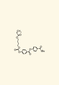 C=CC(=O)OCCCCOC(=O)Oc1ccc(C(=O)Oc2ccc(C(=O)C(C)(C)C)cc2)cc1